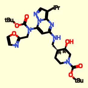 CC(C)c1cnn2c(N(Cc3ncco3)C(=O)OC(C)(C)C)cc(NC[C@H]3CCN(C(=O)OC(C)(C)C)C[C@@H]3O)nc12